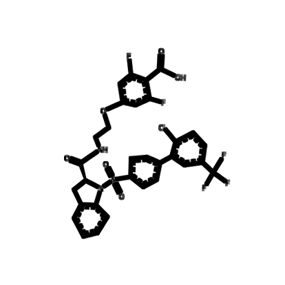 O=C(O)c1c(F)cc(OCCNC(=O)[C@@H]2Cc3ccccc3N2S(=O)(=O)c2ccc(-c3cc(C(F)(F)F)ccc3Cl)cc2)cc1F